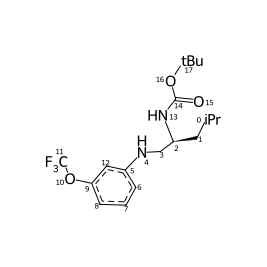 CC(C)C[C@@H](CNc1cccc(OC(F)(F)F)c1)NC(=O)OC(C)(C)C